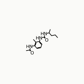 CCCC(C)NC(=O)Nc1cccc(NC(C)=O)c1C